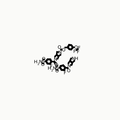 NS(=O)(=O)c1ccc(C(=O)N2CC3=C(CN(C(=O)OCc4ccc(OC(F)(F)F)cc4)C3)C2)c(F)c1.NS(=O)(=O)c1ccc(C(=O)N2CC3=C(CNC3)C2)c(F)c1